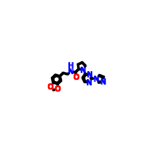 O=C(NCCc1ccc2c(c1)OCO2)C1CCCN1c1ccnc(-n2ccnc2)n1